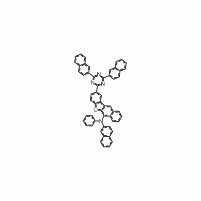 c1ccc(N(c2ccc3ccccc3c2)c2c3ccccc3cc3c2oc2ccc(-c4nc(-c5ccc6ccccc6c5)nc(-c5ccc6ccccc6c5)n4)cc23)cc1